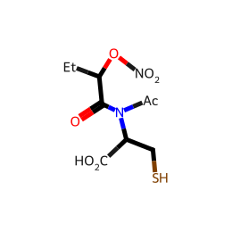 CCC(O[N+](=O)[O-])C(=O)N(C(C)=O)C(CS)C(=O)O